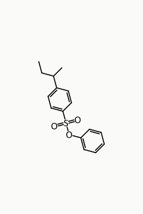 CCC(C)c1ccc(S(=O)(=O)Oc2ccccc2)cc1